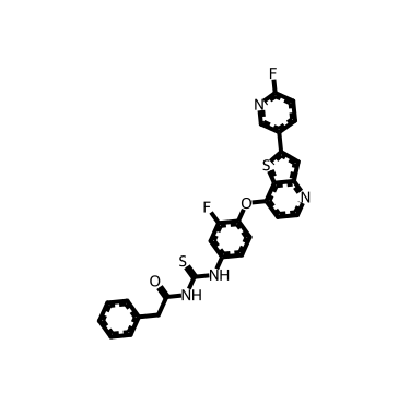 O=C(Cc1ccccc1)NC(=S)Nc1ccc(Oc2ccnc3cc(-c4ccc(F)nc4)sc23)c(F)c1